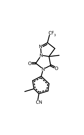 Cc1cc(N2C(=O)N3N=C(C(F)(F)F)CC3(C)C2=O)ccc1C#N